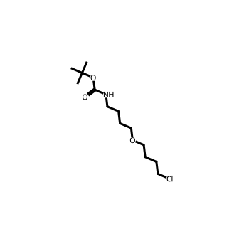 CC(C)(C)OC(=O)NCCCCOCCCCCl